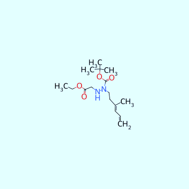 C=C/C=C(\C)CCN(NCC(=O)OCC)C(=O)OC(C)(C)C